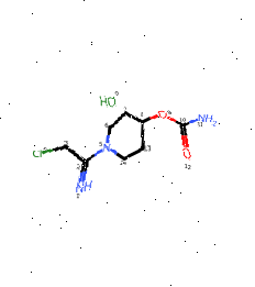 Cl.N=C(CCl)N1CCC(OC(N)=O)CC1